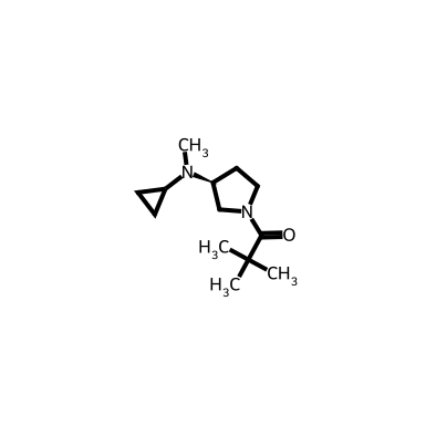 CN(C1CC1)[C@H]1CCN(C(=O)C(C)(C)C)C1